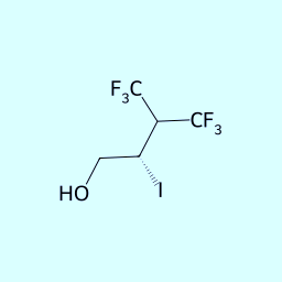 OC[C@@H](I)C(C(F)(F)F)C(F)(F)F